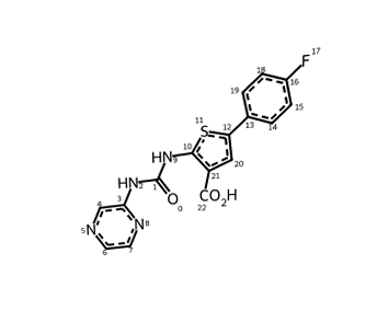 O=C(Nc1cnccn1)Nc1sc(-c2ccc(F)cc2)cc1C(=O)O